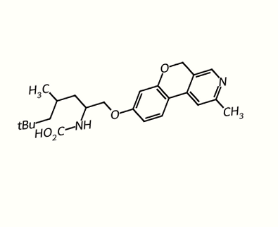 Cc1cc2c(cn1)COc1cc(OCC(CC(C)CC(C)(C)C)NC(=O)O)ccc1-2